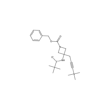 CC(C)(C)[S+]([O-])NC1(CC#C[Si](C)(C)C)CN(C(=O)OCc2ccccc2)C1